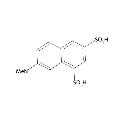 CNc1ccc2cc(S(=O)(=O)O)cc(S(=O)(=O)O)c2c1